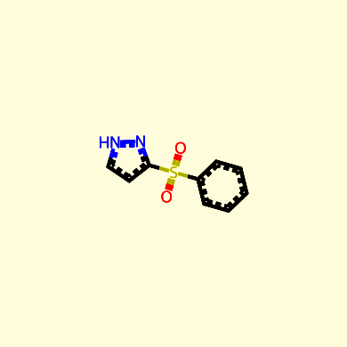 O=S(=O)(c1ccccc1)c1cc[nH]n1